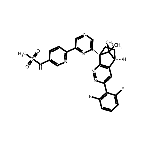 CC1(C)[C@H]2CC[C@]1(c1cncc(-c3ccc(NS(C)(=O)=O)cn3)n1)c1nnc(-c3c(F)cccc3F)cc12